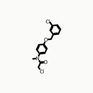 CN(C(=O)CCl)c1ccc(OCc2cccc(Cl)c2)cc1